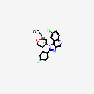 N#CC[C@@H]1C[C@H](n2c(C3CCC(F)CC3)nc3cnc4ccc(Cl)cc4c32)CCO1